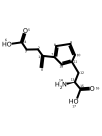 C=C(CCC(=O)O)c1cccc(C[C@H](N)C(=O)O)c1